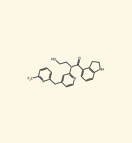 O=C(c1cccc2c1CCN2)N(CCO)c1cc(Cc2cccc(C(F)(F)F)n2)ccn1